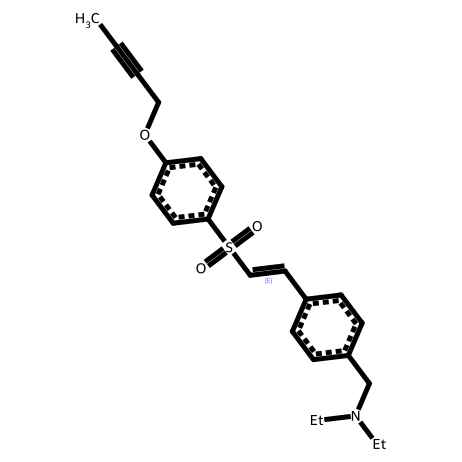 CC#CCOc1ccc(S(=O)(=O)/C=C/c2ccc(CN(CC)CC)cc2)cc1